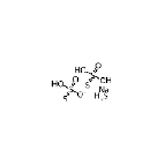 O=S(O)(O)=S.O=S([O-])(O)=S.S.[Na+]